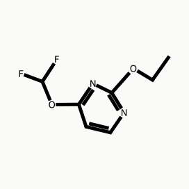 CCOc1nccc(OC(F)F)n1